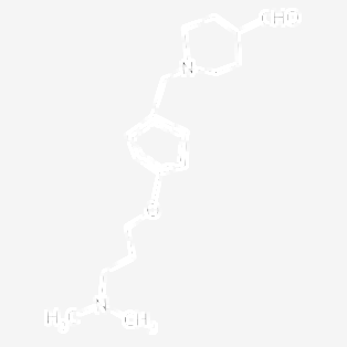 CN(C)CCCOc1ccc(CN2CCC(C=O)CC2)cc1